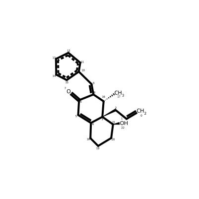 C=CC[C@@]12C(=CC(=O)C(=Cc3ccccc3)[C@@H]1C)CCC[C@@H]2O